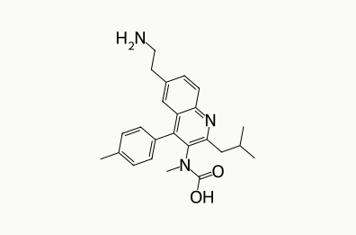 Cc1ccc(-c2c(N(C)C(=O)O)c(CC(C)C)nc3ccc(CCN)cc23)cc1